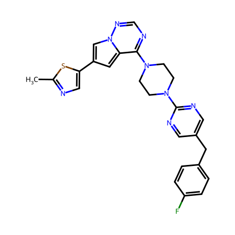 Cc1ncc(-c2cc3c(N4CCN(c5ncc(Cc6ccc(F)cc6)cn5)CC4)ncnn3c2)s1